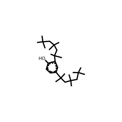 CC(C)(C)CC(C)(C)CC(C)(C)c1ccc(O)c(C(C)(C)CC(C)(C)CC(C)(C)C)c1